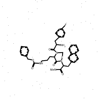 CNC(=O)C(Cc1ccc2ccccc2c1)N1CCN(C(=O)C(N)Cc2ccc(F)cc2)C(CCCNC(=O)OCc2ccccc2)C1=O